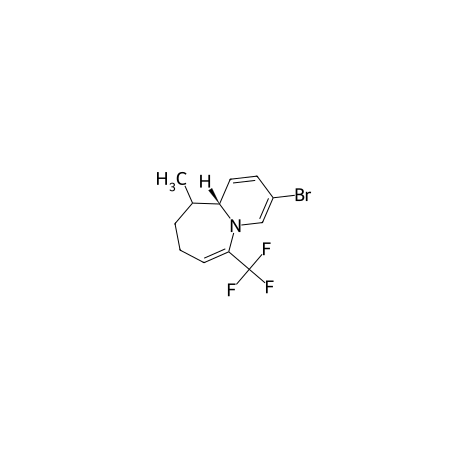 CC1CCC=C(C(F)(F)F)N2C=C(Br)C=C[C@@H]12